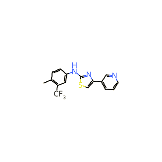 Cc1ccc(Nc2nc(-c3cccnc3)cs2)cc1C(F)(F)F